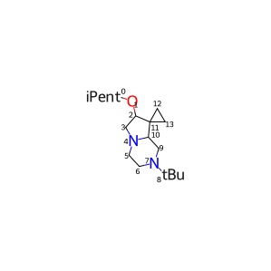 CCCC(C)OC1CN2CCN(C(C)(C)C)CC2C12CC2